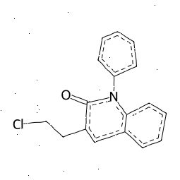 O=c1c(CCCl)cc2ccccc2n1-c1ccccc1